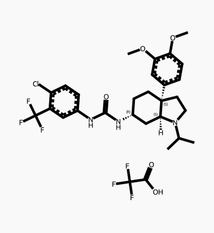 COc1ccc([C@@]23CC[C@@H](NC(=O)Nc4ccc(Cl)c(C(F)(F)F)c4)C[C@@H]2N(C(C)C)CC3)cc1OC.O=C(O)C(F)(F)F